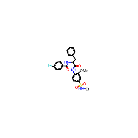 CCNS(=O)(=O)c1ccc(NC(=O)C(Cc2ccccc2)NC(=O)c2ccc(F)cc2)c(OC)c1